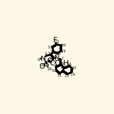 CN(Cc1c(C(=O)O)n(Cc2cccc3ccccc23)c2ccc(F)cc12)S(C)(=O)=O